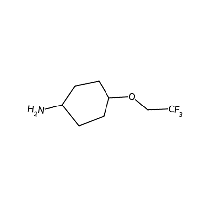 NC1CCC(OCC(F)(F)F)CC1